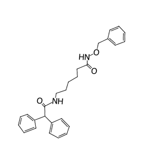 O=C(CCCCCNC(=O)C(c1ccccc1)c1ccccc1)NOCc1ccccc1